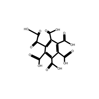 O=C(O)C(=O)c1c(C(=O)O)c(C(=O)O)c(C(=O)O)c(C(=O)O)c1C(=O)O